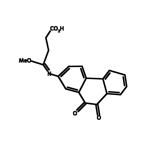 COC(CCC(=O)O)=Nc1ccc2c(c1)C(=O)C(=O)c1ccccc1-2